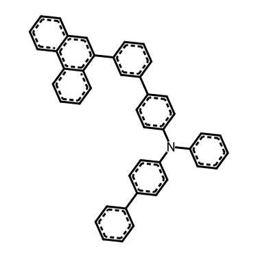 c1ccc(-c2ccc(N(c3ccccc3)c3ccc(-c4cccc(-c5cc6ccccc6c6ccccc56)c4)cc3)cc2)cc1